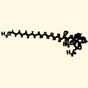 CCCCCCCCCCCCCCCCCC(=O)NC[N+](C)(C)C(CCC)(C(=O)[O-])C(=O)O